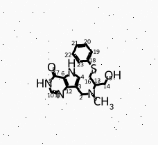 CN(Cc1c[nH]c2c(=O)[nH]cnc12)C(CO)CSc1ccccc1